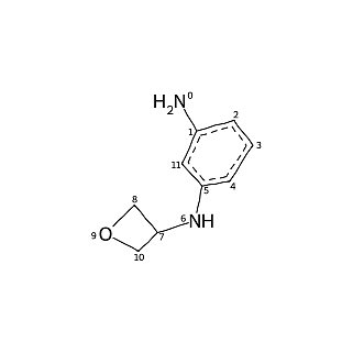 Nc1cccc(NC2COC2)c1